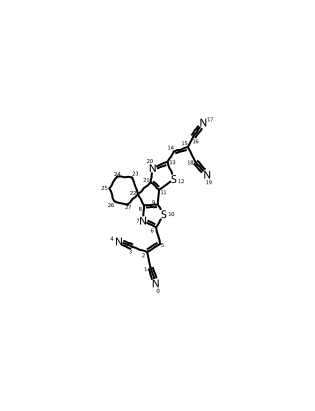 N#CC(C#N)=Cc1nc2c(s1)-c1sc(C=C(C#N)C#N)nc1C21CCCCC1